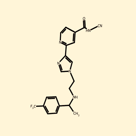 CC(NCCn1cnc(-c2cc(C(=O)NC#N)ccn2)c1)c1ccc(C(F)(F)F)cc1